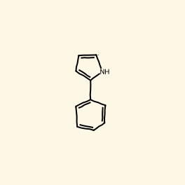 [c]1ccc(-c2ccccc2)[nH]1